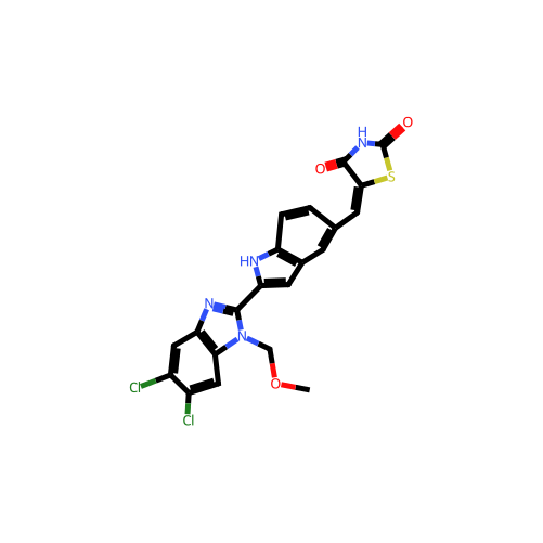 COCn1c(-c2cc3cc(/C=C4/SC(=O)NC4=O)ccc3[nH]2)nc2cc(Cl)c(Cl)cc21